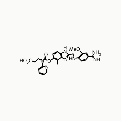 COc1cc(C(=N)N)ccc1NCc1nc2c(C)c(OC(=O)N(CCC(=O)O)c3ccccn3)ccc2[nH]1